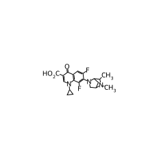 CC1C2CC(CN2c2c(F)cc3c(=O)c(C(=O)O)cn(C4CC4)c3c2F)N1C